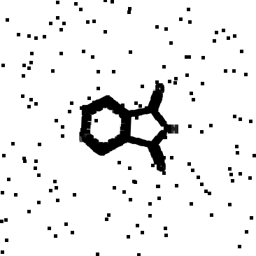 O=C1NC(=O)c2cnncc21